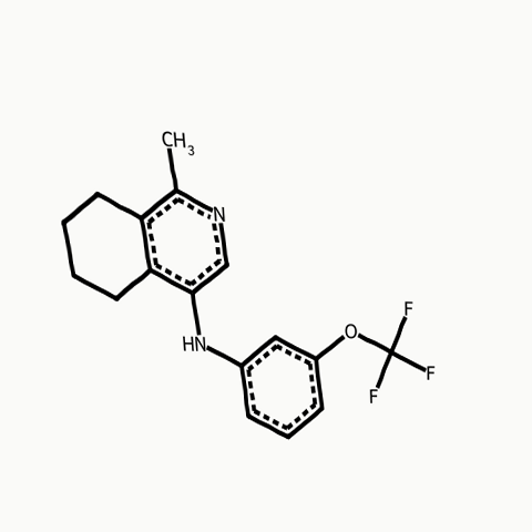 Cc1ncc(Nc2cccc(OC(F)(F)F)c2)c2c1CCCC2